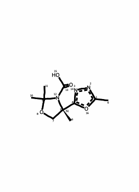 Cc1nnc([C@]2(C)COC(C)(C)N2C(=O)O)o1